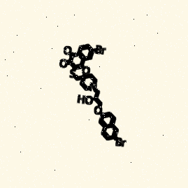 O=C1C(=O)c2ccc(Br)cc2C2=C1SCC1(CCN(C[C@H](O)COc3ccc4cc(Br)ccc4c3)CC1)O2